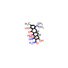 Cc1cc(N(C)C)c2c(c1O)C(=O)C1=C(O)[C@]3(O)C(=N)C(C(N)=O)=C(O)C[C@@H]3C[C@@H]1C2